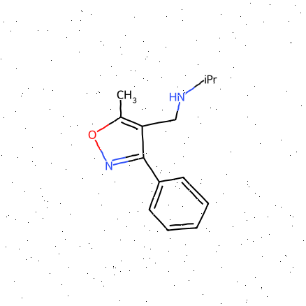 Cc1onc(-c2ccccc2)c1CNC(C)C